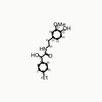 CCc1ccc(C(O)C(=O)NCCc2ccc(O)c(OC)c2)cc1